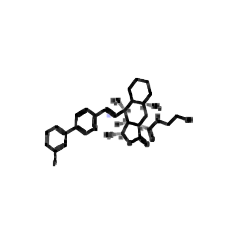 C[C@H]1OC(=O)[C@]2(C(=O)NCCO)C[C@]3(N)CCCCC3[C@](N)(/C=C/c3ccc(-c4cccc(F)c4)cn3)[C@H]12